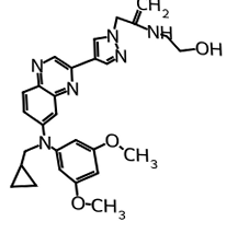 C=C(Cn1cc(-c2cnc3ccc(N(CC4CC4)c4cc(OC)cc(OC)c4)cc3n2)cn1)NCCO